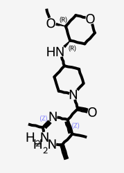 C=C(N)/C(C)=C(\N=C(\C)N)C(=O)N1CCC(N[C@@H]2CCOC[C@@H]2OC)CC1